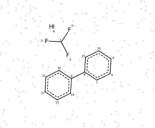 FC(F)F.I.c1ccc(-c2ccccc2)cc1